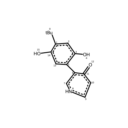 CC(C)(C)c1cc(O)c(-c2c[nH]ccc2=O)cc1O